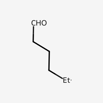 C[CH]CCCC=O